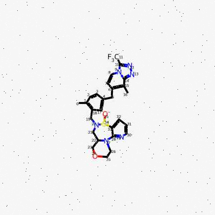 Cc1ccc(Cc2ccn3c(C(F)(F)F)nnc3c2C)cc1CN1CC2COCCN2c2ncccc2[S+]1[O-]